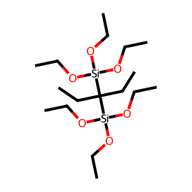 CCO[Si](OCC)(OCC)C(CC)(CC)[Si](OCC)(OCC)OCC